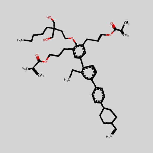 C=CC1CCC(c2ccc(-c3ccc(-c4cc(CCCOC(=O)C(=C)C)c(OCCC(CO)(CO)CCCCC)c(CCCOC(=O)C(=C)C)c4)c(CC)c3)cc2)CC1